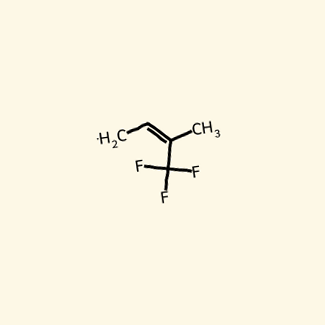 [CH2]/C=C(/C)C(F)(F)F